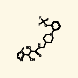 Cn1ccnc1[C@H](O)[C@@H](O)C(=O)NCC1CCN(c2ccccc2OC(F)(F)F)CC1